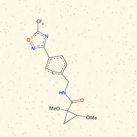 COC1CC1(OC)C(=O)NCc1ccc(-c2noc(C(F)(F)F)n2)cc1